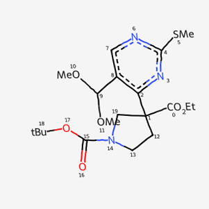 CCOC(=O)C1(c2nc(SC)ncc2C(OC)OC)CCN(C(=O)OC(C)(C)C)C1